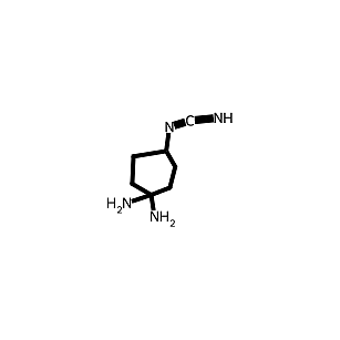 N=C=NC1CCC(N)(N)CC1